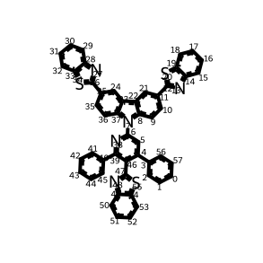 c1ccc(-c2cc(-n3c4ccc(-c5nc6ccccc6s5)cc4c4cc(-c5nc6ccccc6s5)ccc43)nc(-c3ccccc3)c2-c2nc3ccccc3s2)cc1